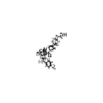 COc1ccc(Nc2nc(C(=O)O)c(NC(=O)c3ccc(N4CCN(CCO)CC4)cc3)s2)cc1